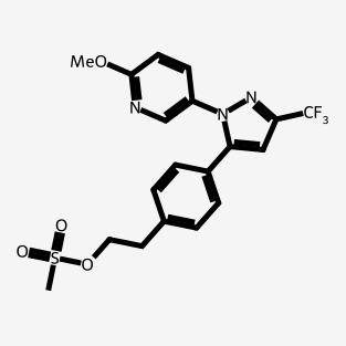 COc1ccc(-n2nc(C(F)(F)F)cc2-c2ccc(CCOS(C)(=O)=O)cc2)cn1